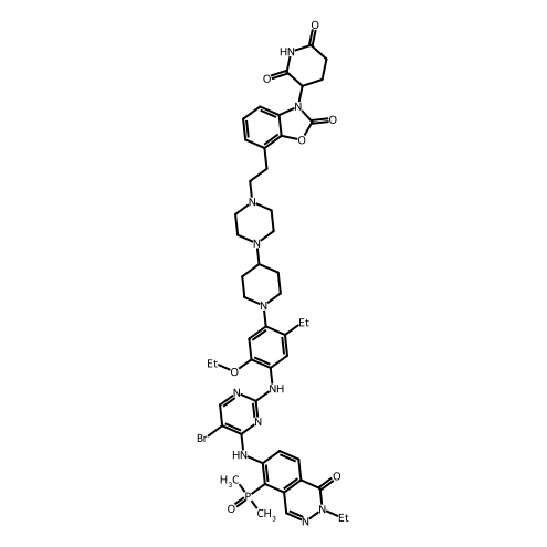 CCOc1cc(N2CCC(N3CCN(CCc4cccc5c4oc(=O)n5C4CCC(=O)NC4=O)CC3)CC2)c(CC)cc1Nc1ncc(Br)c(Nc2ccc3c(=O)n(CC)ncc3c2P(C)(C)=O)n1